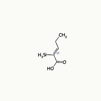 CC/C=C(\[SiH3])C(=O)O